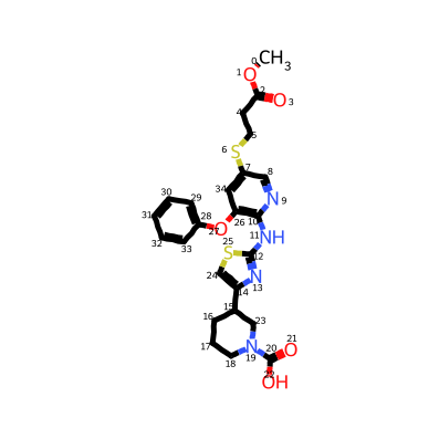 COC(=O)CCSc1cnc(Nc2nc(C3CCCN(C(=O)O)C3)cs2)c(Oc2ccccc2)c1